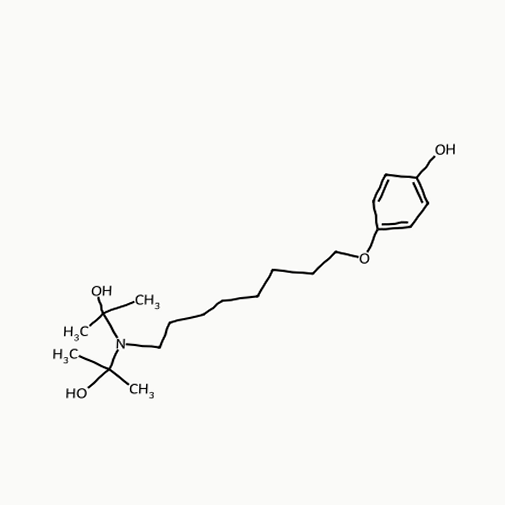 CC(C)(O)N(CCCCCCCCOc1ccc(O)cc1)C(C)(C)O